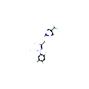 Cc1cc(N(N)/C=C(\N)COc2ncc(C(F)F)cn2)c(F)cc1F